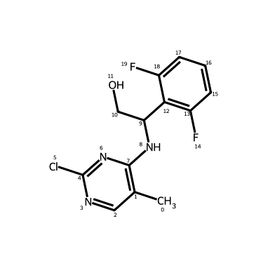 Cc1cnc(Cl)nc1NC(CO)c1c(F)cccc1F